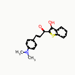 CN(C)c1ccc(C=CC(=O)c2sc3ccccc3c2O)cc1